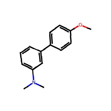 COc1ccc(-c2[c]ccc(N(C)C)c2)cc1